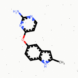 Cc1cc2cc(Oc3ccnc(N)n3)ccc2[nH]1